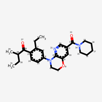 CCc1cc(N2CCOc3cc(C(=O)N4CCCCC4)cnc32)ccc1C(=O)C(C)CC